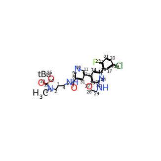 CN(CCCNC(=O)c1cncc(-c2cc(-c3cc(Cl)ccc3F)nc3c2OCCN3)c1)C(=O)OC(C)(C)C